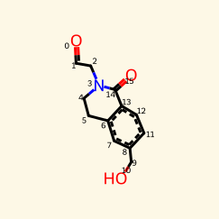 O=CCN1CCc2cc(CO)ccc2C1=O